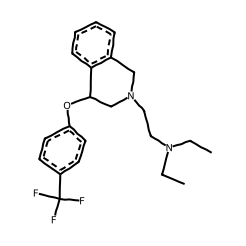 CCN(CC)CCN1Cc2ccccc2C(Oc2ccc(C(F)(F)F)cc2)C1